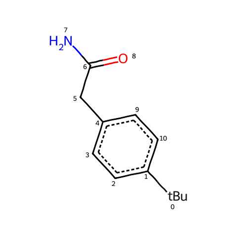 CC(C)(C)c1ccc(CC(N)=O)cc1